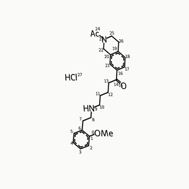 COc1ccccc1CCNCCCCC(=O)c1ccc2c(c1)CN(C(C)=O)CC2.Cl